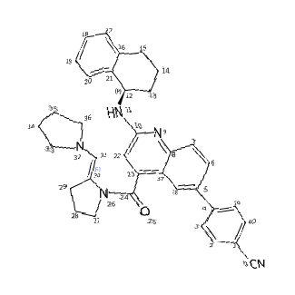 N#Cc1ccc(-c2ccc3nc(N[C@@H]4CCCc5ccccc54)cc(C(=O)N4CCC/C4=C\N4CCCC4)c3c2)cc1